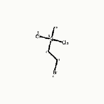 C[Si](Cl)(Cl)CCBr